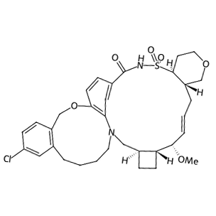 CO[C@H]1/C=C/C[C@H]2COCC[C@@H]2S(=O)(=O)NC(=O)c2ccc3c(c2)N(CCCCc2cc(Cl)ccc2CO3)C[C@@H]2CC[C@H]21